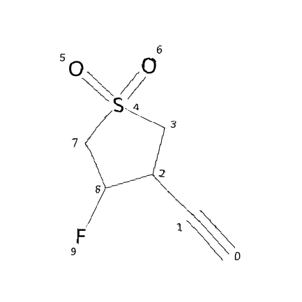 C#CC1CS(=O)(=O)CC1F